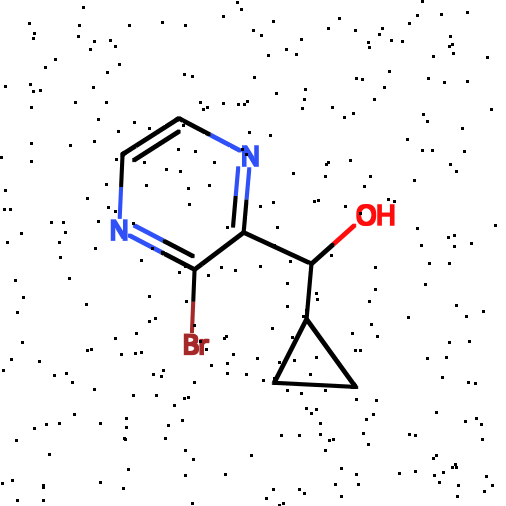 OC(c1nccnc1Br)C1CC1